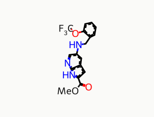 COC(=O)c1cc2cc(NCc3ccccc3OC(F)(F)F)cnc2[nH]1